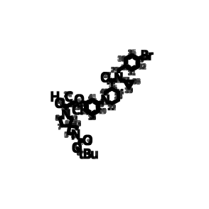 CC(C)(C)OC(=O)N1CC2(CCN(C(=O)C(C)(C)Oc3cccc(N4CCC[C@@H](C(=O)N(Cc5ccc(Br)cc5)C5CC5)C4)c3)C2)C1